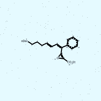 CCCCCCCCCCCCCC=CC=C(C1=C(C(=O)OCC)O1)c1ccccc1